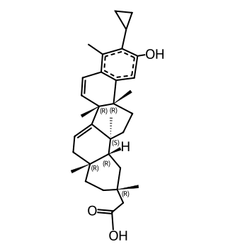 Cc1c2c(cc(O)c1C1CC1)[C@]1(C)CC[C@]3(C)C(=CC[C@@]4(C)CC[C@@](C)(CC(=O)O)C[C@H]43)[C@]1(C)C=C2